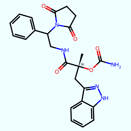 C[C@](Cc1n[nH]c2ccccc12)(OC(N)=O)C(=O)NCC(c1ccccc1)N1C(=O)CCC1=O